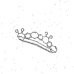 O=C1C(=O)c2cc3c4cc2CC2=CC5Cc6cc7c(cc6C=CC5C=C12)C(=O)C(=O)c1cc(c(cc1C7)C4)C=C3